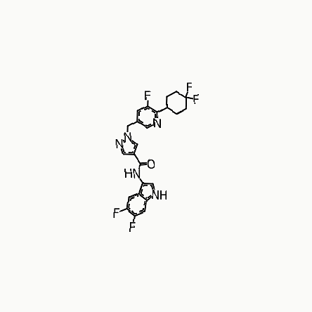 O=C(Nc1c[nH]c2cc(F)c(F)cc12)c1cnn(Cc2cnc(C3CCC(F)(F)CC3)c(F)c2)c1